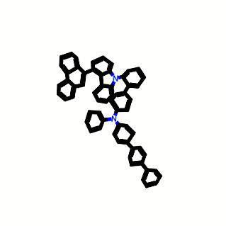 c1ccc(-c2ccc(-c3ccc(N(c4ccccc4)c4ccc(-c5ccccc5-n5c6ccccc6c6c(-c7cc8ccccc8c8ccccc78)cccc65)cc4)cc3)cc2)cc1